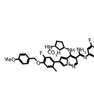 COc1ccc(COc2cc(C)c(-c3cc4c(N[C@@H]5CC[C@H](NC(=O)O)C5)c(C(N)=Nc5cc(F)ccc5Cl)cnn4c3)cc2F)cc1